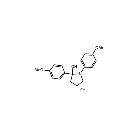 C.COc1ccc(N2CCCC2(O)c2ccc(OC)cc2)cc1